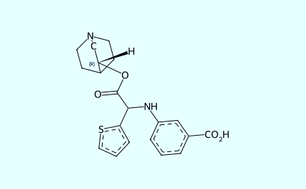 O=C(O)c1cccc(NC(C(=O)O[C@H]2CN3CCC2CC3)c2cccs2)c1